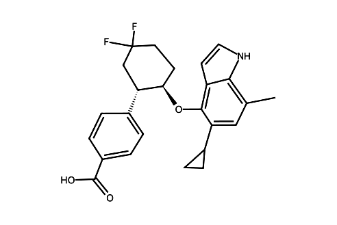 Cc1cc(C2CC2)c(O[C@@H]2CCC(F)(F)C[C@H]2c2ccc(C(=O)O)cc2)c2cc[nH]c12